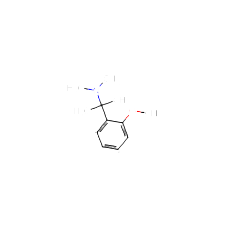 COc1ccccc1C(C)(C)N(C)C